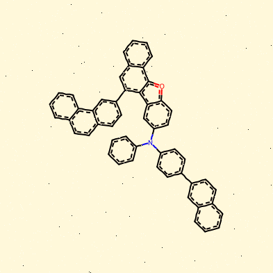 c1ccc(N(c2ccc(-c3ccc4ccccc4c3)cc2)c2ccc3oc4c5ccccc5cc(-c5ccc6ccc7ccccc7c6c5)c4c3c2)cc1